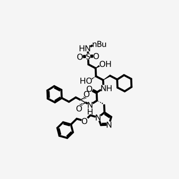 CCCCNS(=O)(=O)C[C@@H](O)[C@@H](O)[C@@H](CC1CCCCC1)NC(=O)[C@H](Cc1cncn1COCc1ccccc1)NS(=O)(=O)CCc1ccccc1